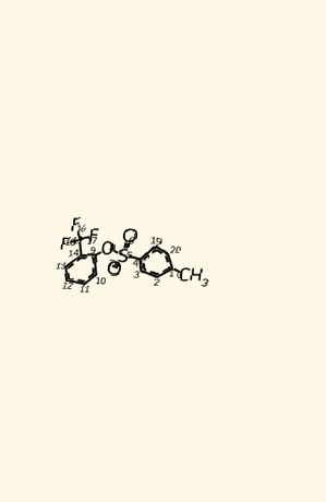 Cc1ccc(S(=O)(=O)Oc2ccccc2C(F)(F)F)cc1